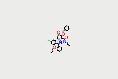 C=CCOc1cc(F)ccc1C(c1ccccc1)N1CN(CC=C)C(=O)c2c(OCc3ccccc3)c(=O)ccn21